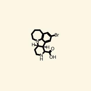 O=C(O)C1NCC[C@H]2[C@@H]1c1cc(Br)cc3c1N2CCCC3